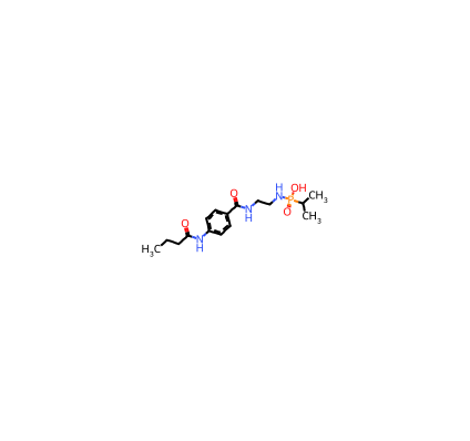 CCCC(=O)Nc1ccc(C(=O)NCCNP(=O)(O)C(C)C)cc1